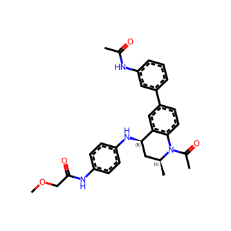 COCC(=O)Nc1ccc(N[C@@H]2C[C@H](C)N(C(C)=O)c3ccc(-c4cccc(NC(C)=O)c4)cc32)cc1